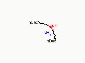 CCCCCCCCCCCCCCCCOP(=O)(O)OCCCCCCCCCCCCCCCC.N